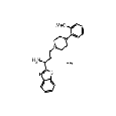 Br.COc1ccccc1N1CCN(CCC(N)c2nc3ccccc3s2)CC1